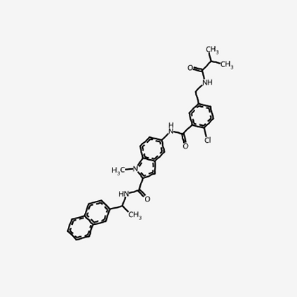 CC(C)C(=O)NCc1ccc(Cl)c(C(=O)Nc2ccc3c(c2)cc(C(=O)NC(C)c2ccc4ccccc4c2)n3C)c1